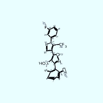 O=C(O)c1c(-c2c(F)cccc2Cl)noc1-c1cnn(-c2cccc(F)c2)c1C(F)(F)F